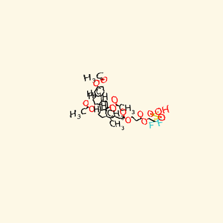 CC(=O)OC1CC[C@@]2(C)[C@@H](C1)CC(OC(C)=O)[C@@H]1[C@@H]2CC(OC(C)=O)[C@]2(C)[C@@H]([C@H](C)CCC(=O)OCCC(=O)OCC(F)(F)S(=O)(=O)O)CC[C@@H]12